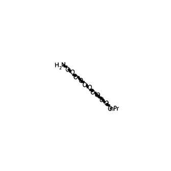 CCCOCCOCCOCCOCCOCCOCCOCCOCCOCCOCCOCCN